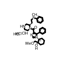 COC[C@]1(O)CCCC[C@H]1n1cnc(C(=O)N2CCNC[C@H]2CCN(C)c2ccccc2)c1-c1ccccc1.Cl.Cl.Cl